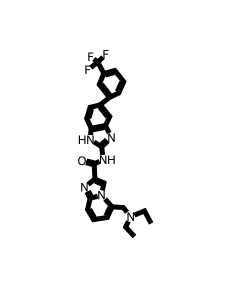 CCN(CC)Cc1cccc2nc(C(=O)Nc3nc4cc(-c5cccc(C(F)(F)F)c5)ccc4[nH]3)cn12